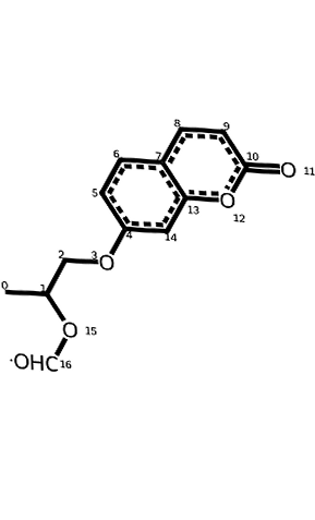 CC(COc1ccc2ccc(=O)oc2c1)O[C]=O